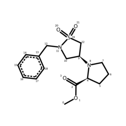 COC(=O)[C@@H]1CCCN1[C@H]1CN(Cc2ccccc2)S(=O)(=O)C1